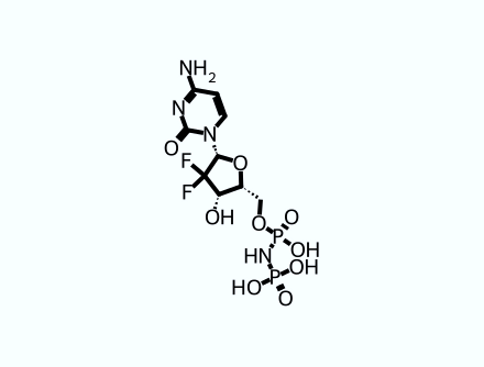 Nc1ccn([C@@H]2O[C@H](COP(=O)(O)NP(=O)(O)O)[C@H](O)C2(F)F)c(=O)n1